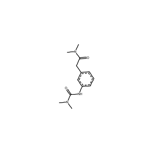 CN(C)C(=O)Cc1cccc(NC(=O)N(C)C)c1